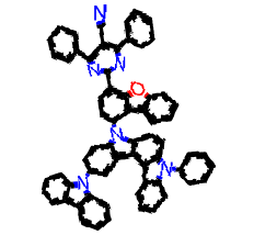 N#Cc1c(-c2ccccc2)nc(-c2ccc(-n3c4ccc(-n5c6ccccc6c6ccccc65)cc4c4c5c6ccccc6n(-c6ccccc6)c5ccc43)c3c2oc2ccccc23)nc1-c1ccccc1